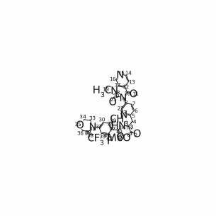 COC(=O)[C@H](Cc1ccc(-n2c(=O)c3ccncc3n(C)c2=O)cn1)NC(=O)c1c(C)cc(N2CCOC[C@@H]2C(F)(F)F)cc1F